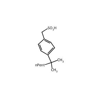 CCCCCC(C)(C)c1ccc(CS(=O)(=O)O)cc1